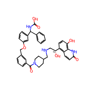 O=C(O)NC(c1ccccc1)c1cccc(OCc2cccc(C(=O)N3CCC(CNC[C@@H](O)c4ccc(O)c5[nH]c(=O)ccc45)CC3)c2)c1